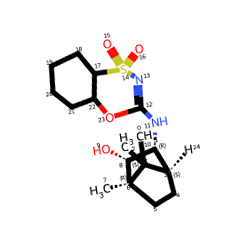 CC1(C)[C@@H]2CC[C@@]1(C)[C@H](O)[C@@H]2NC1=NS(=O)(=O)C2CCCCC2O1